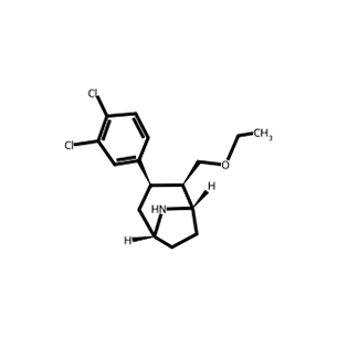 CCOC[C@H]1[C@@H]2CC[C@H](C[C@H]1c1ccc(Cl)c(Cl)c1)N2